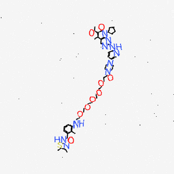 CC(=O)c1c(C)c2cnc(Nc3ccc(N4CCN(C(=O)CCOCCOCCOCCOCCOCCNc5cccc(C(=O)NC6=NC(C)C(C)S6)c5C)CC4)cn3)nc2n(C2CCCC2)c1=O